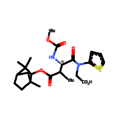 CC(C)(C)OC(=O)N[C@H](C(=O)N(CC(=O)O)c1cccs1)C(C(=O)OC1C2(C)CCC(C2)C1(C)C)C(C)(C)C